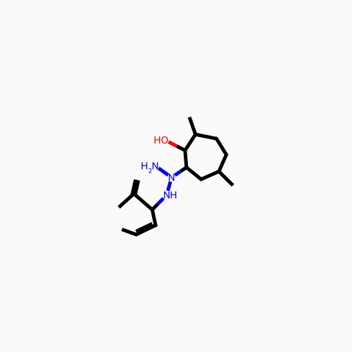 C=C(C)C(/C=C\C)NN(N)C1CC(C)CCC(C)C1O